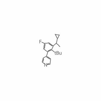 CC(c1cc(F)cc(-c2ccncc2)c1C(C)(C)C)C1CC1